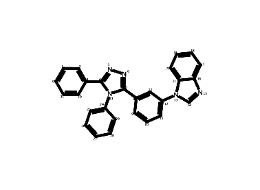 c1ccc(-c2nnc(-c3cccc(-n4cnc5ccccc54)c3)n2-c2ccccc2)cc1